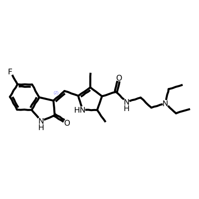 CCN(CC)CCNC(=O)C1C(C)=C(/C=C2\C(=O)Nc3ccc(F)cc32)NC1C